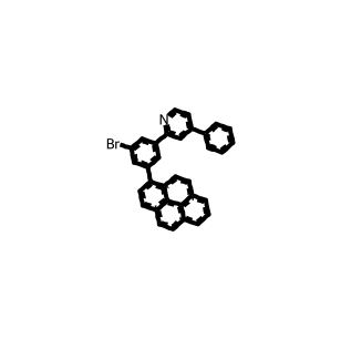 Brc1cc(-c2cc(-c3ccccc3)ccn2)cc(-c2ccc3ccc4cccc5ccc2c3c45)c1